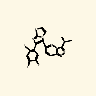 CC(C)c1nnc2ccc(-c3c(-c4cc(F)c(F)cc4F)nc4occn34)nn12